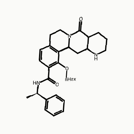 CCCCCCOc1c(C(=O)N[C@H](C)c2ccccc2)ccc2c1C1CC3NCCCC3C(=O)N1CC2